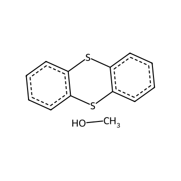 CO.c1ccc2c(c1)Sc1ccccc1S2